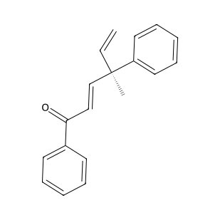 C=C[C@](C)(/C=C/C(=O)c1ccccc1)c1ccccc1